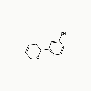 N#Cc1cccc(C2CC=CCO2)c1